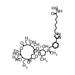 CC[C@H]1OC(=O)[C@H](C)[C@@H](O)[C@H](C)[C@@H](O[C@@H]2O[C@H](C)C[C@H](N(C)Cc3cccc(-c4cn(CCCCCCC(=O)NO)nn4)c3)[C@H]2O)[C@@]2(C)C[C@@H](CO2)C(=O)[C@H](C)[C@@H](O)[C@]1(C)O